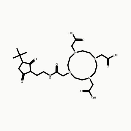 CC(C)(C)C1CC(=O)C(CCNC(=O)CN2CCN(CC(=O)O)CCN(CC(=O)O)CCN(CC(=O)O)CC2)C1=O